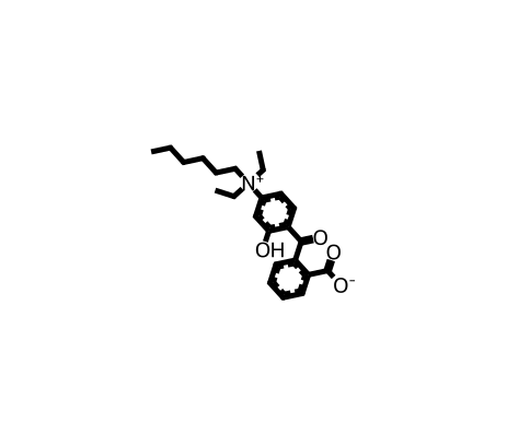 CCCCCC[N+](CC)(CC)c1ccc(C(=O)c2ccccc2C(=O)[O-])c(O)c1